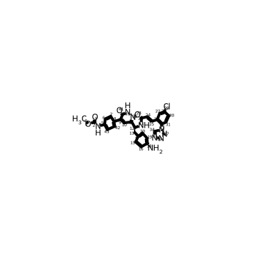 COC(=O)Nc1ccc(-c2cc([C@H](Cc3ccc(N)cc3)NC(=O)/C=C/c3cc(Cl)ccc3-n3cnnn3)n[nH]c2=O)cc1